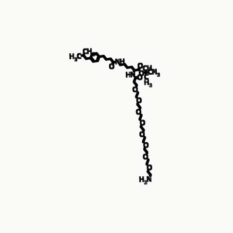 CC(C)Cc1ccc(CCCC(=O)NCCCCC(NC(=O)CCOCCOCCOCCOCCOCCOCCOCCOCCN)C(=O)OC(C)(C)C)cc1